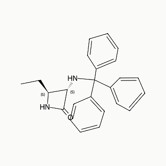 CC[C@@H]1NC(=O)[C@H]1NC(c1ccccc1)(c1ccccc1)c1ccccc1